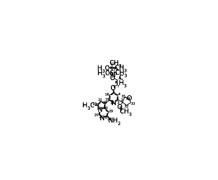 CO[C@]1(c2cc(OC[C@@H](C)O[Si](C)(C)C(C)(C)C)cc(-c3cc(C)n4cnc(N)cc34)n2)CCOC1